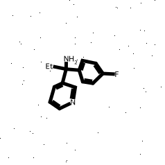 CCC(N)(c1ccc(F)cc1)c1cccnc1